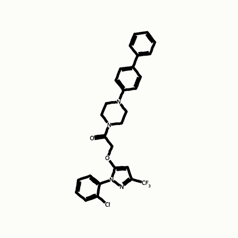 O=C(COc1cc(C(F)(F)F)nn1-c1ccccc1Cl)N1CCN(c2ccc(-c3ccccc3)cc2)CC1